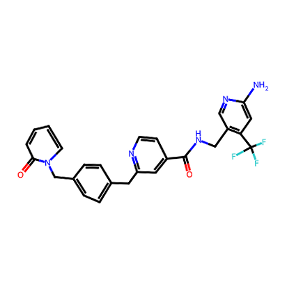 Nc1cc(C(F)(F)F)c(CNC(=O)c2ccnc(Cc3ccc(Cn4ccccc4=O)cc3)c2)cn1